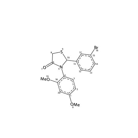 COc1ccc(N2C(=O)CSC2c2cccc(Br)c2)c(OC)c1